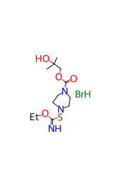 Br.CCOC(=N)SN1CCN(C(=O)OCC(C)(C)O)CC1